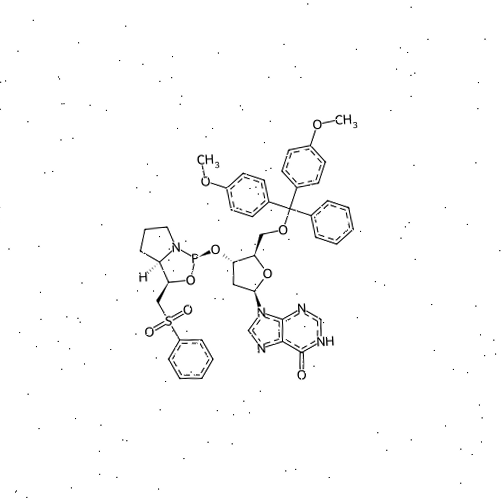 COc1ccc(C(OC[C@H]2O[C@@H](n3cnc4c(=O)[nH]cnc43)C[C@@H]2O[P@@]2O[C@@H](CS(=O)(=O)c3ccccc3)[C@H]3CCCN32)(c2ccccc2)c2ccc(OC)cc2)cc1